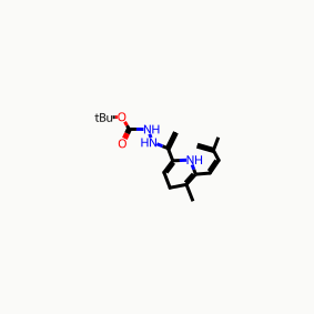 C=C(C)/C=C\C1=C(C)CC=C(C(=C)NNC(=O)OC(C)(C)C)N1